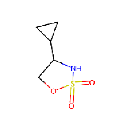 O=S1(=O)NC(C2CC2)CO1